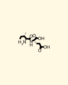 CC[C@H](C)[C@H](N)C(=O)N[C@@H](CCC(=O)O)C(=O)O